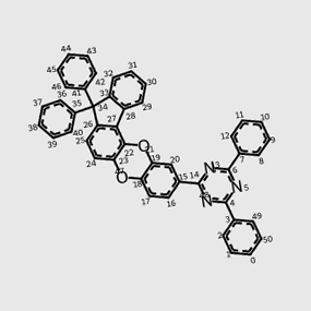 c1ccc(-c2nc(-c3ccccc3)nc(-c3ccc4c(c3)Oc3c(ccc5c3-c3ccccc3C5(c3ccccc3)c3ccccc3)O4)n2)cc1